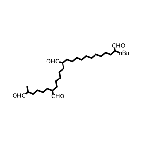 CCCCC(C=O)CCCCCCCCCCC(C=O)CCCCCC(C=O)CCCCC(C)C=O